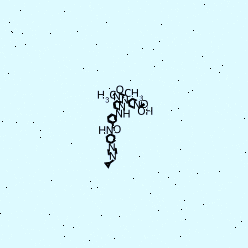 C[C@@H]1C(=O)N(C)c2ccc(Nc3cccc(C(=O)NC4CCC(N5CCN(CC6CC6)CC5)CC4)c3)nc2N1C1CCN(C(=O)O)CC1